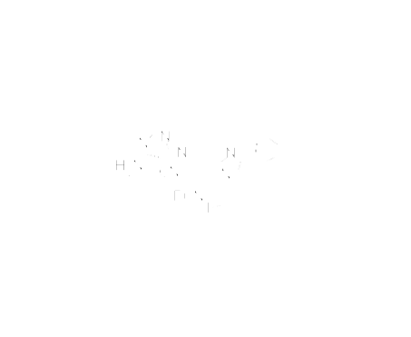 CCN(CCn1cc(-c2ccc(F)c(C)c2)nc1C1CCN(c2ncnc(N)c2C#N)CC1)C(C)C